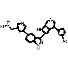 CCNCc1cncc(-c2ccc3[nH]nc(-c4cc5c(-c6ccc(C(C)=O)s6)cncc5[nH]4)c3c2)c1